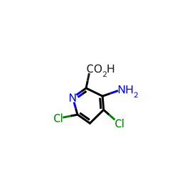 Nc1c(Cl)cc(Cl)nc1C(=O)O